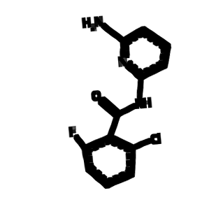 Nc1cccc(NC(=O)c2c(F)cccc2Cl)n1